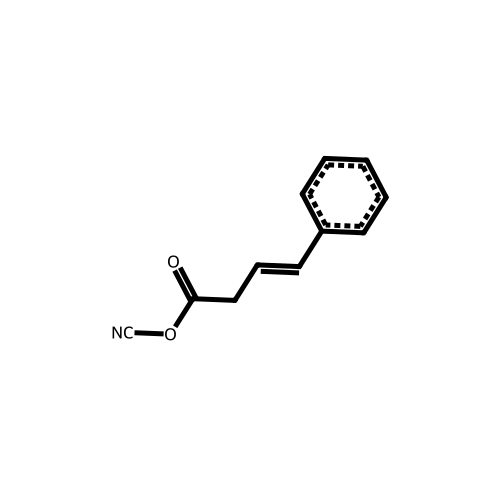 N#COC(=O)C/C=C/c1ccccc1